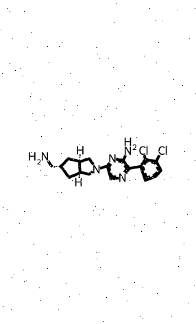 NC[C@H]1C[C@@H]2CN(c3cnc(-c4cccc(Cl)c4Cl)c(N)n3)C[C@@H]2C1